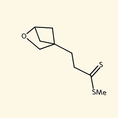 CSC(=S)CCC12COC(C1)C2